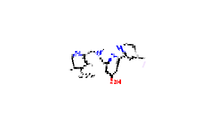 COc1c(C)cnc(CN(C)Cc2cc(O)cc(-c3cc(CI)ccn3)n2)c1C